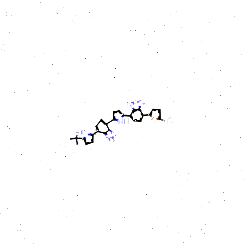 CCC(C)(C)c1ccc(C2=CC=C(c3ccc(-c4ccc(-c5ccc(C(C)(C)C)s5)c5nsnc45)[nH]3)C3NSN=C23)[nH]1